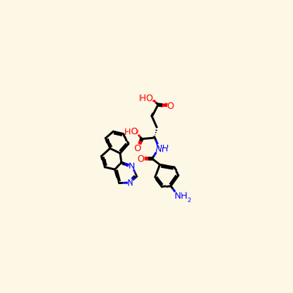 Nc1ccc(C(=O)N[C@@H](CCC(=O)O)C(=O)O)cc1.c1ccc2c(c1)ccc1cncnc12